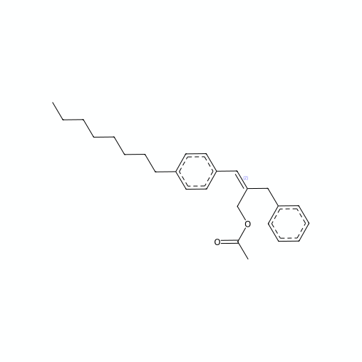 CCCCCCCCc1ccc(/C=C(\COC(C)=O)Cc2ccccc2)cc1